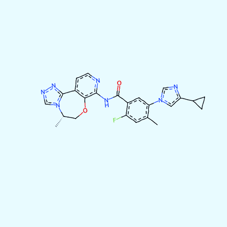 Cc1cc(F)c(C(=O)Nc2nccc3c2OC[C@H](C)n2cnnc2-3)cc1-n1cnc(C2CC2)c1